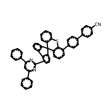 N#Cc1ccc(-c2ccc(-c3cccc4c3Sc3ccccc3C43c4ccccc4-c4c(-c5nc(-c6ccccc6)cc(-c6ccccc6)n5)cccc43)cc2)cc1